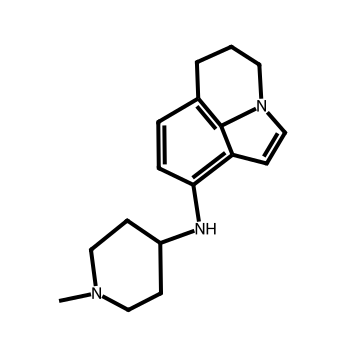 CN1CCC(Nc2ccc3c4c2ccn4CCC3)CC1